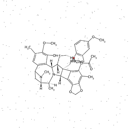 COc1ccc2[nH]c3c(c2c1)CCN[C@]31CS[C@H]2[C@H]3c4c(cc(C)c(OC)c4O)C4C[C@@H]([C@H](C)N3[C@H]3c5c6c(c(C)c(OC(C)=O)c5[C@@]32C1)OCO6)N4C